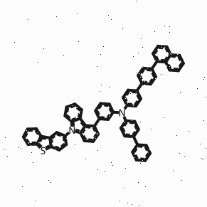 c1ccc(-c2ccc(N(c3ccc(-c4ccc(-c5cccc6ccccc56)cc4)cc3)c3cccc(-c4cccc5c4c4ccccc4n5-c4ccc5sc6ccccc6c5c4)c3)cc2)cc1